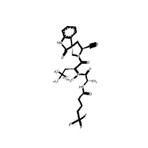 C[C@H](NC(=O)CCCC(F)(F)F)C(=O)N(C)[C@@H](CC(C)(C)C)C(=O)N1C[C@]2(C[C@H]1C#N)C(=O)Nc1ccccc12